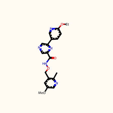 CCOc1ccc(-c2cncc(C(=O)NOCc3cc(OC)cnc3C)n2)cn1